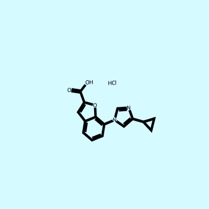 Cl.O=C(O)c1cc2cccc(-n3cnc(C4CC4)c3)c2o1